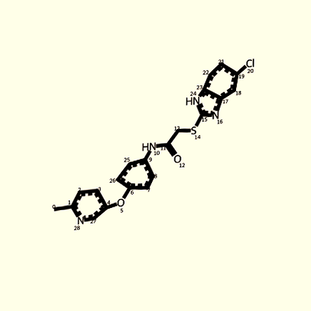 Cc1ccc(Oc2ccc(NC(=O)CSc3nc4cc(Cl)ccc4[nH]3)cc2)cn1